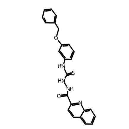 O=C(NNC(=S)Nc1cccc(OCc2ccccc2)c1)c1ccc2ccccc2n1